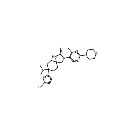 Cc1nc(N2CCOCC2)ncc1N1CC2(CCC(c3ccc(Cl)s3)(N(C)C)CC2)NC1=O